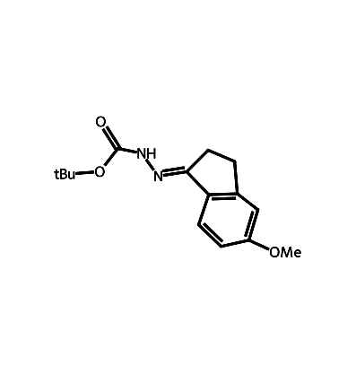 COc1ccc2c(c1)CCC2=NNC(=O)OC(C)(C)C